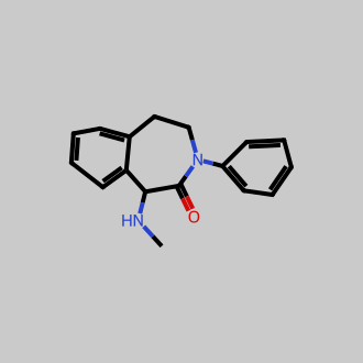 CNC1C(=O)N(c2ccccc2)CCc2ccccc21